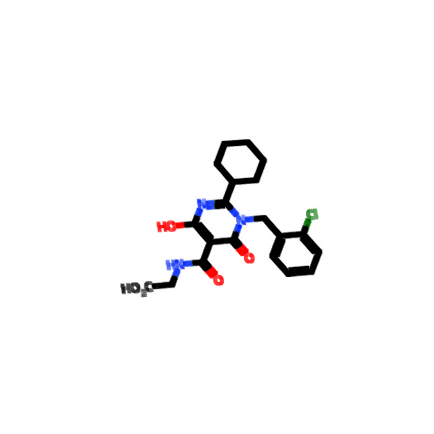 O=C(O)CNC(=O)c1c(O)nc(C2CCCCC2)n(Cc2ccccc2Cl)c1=O